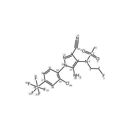 CS(=O)(=O)N(CCF)c1c(C#N)nn(-c2ccc(S(F)(F)(F)(F)F)cc2Cl)c1N